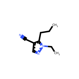 CCCc1c(C#N)[c]nn1CC